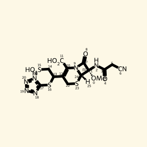 CO[C@@]1(NC(=O)CC#N)C(=O)N2C(C(=O)O)=C(C(CS(=O)(=O)O)Sc3nnn[nH]3)CS[C@H]21